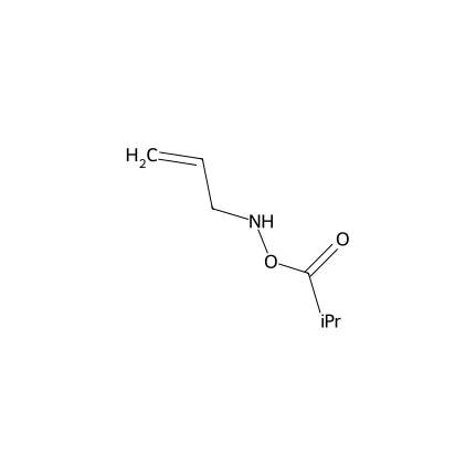 C=CCNOC(=O)C(C)C